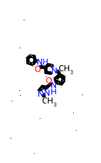 Cc1nccc(C(=O)Nc2cccc(C(C)N3CCC(C(=O)NC4CCCCC4)CC3)c2)n1